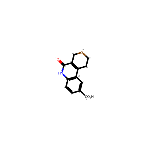 O=C(O)c1ccc2[nH]c(=O)c3c(c2c1)CCSC3